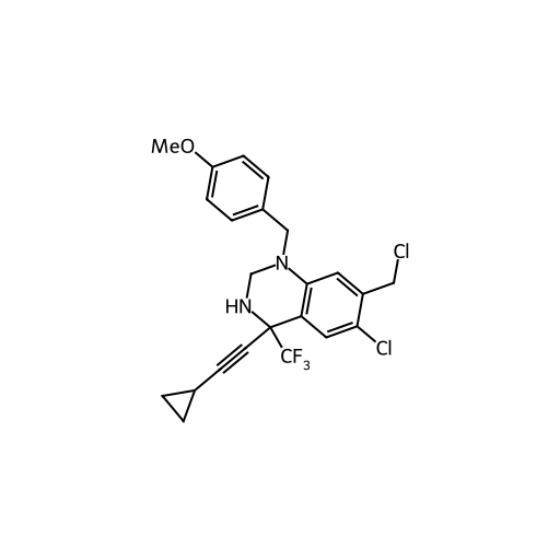 COc1ccc(CN2CNC(C#CC3CC3)(C(F)(F)F)c3cc(Cl)c(CCl)cc32)cc1